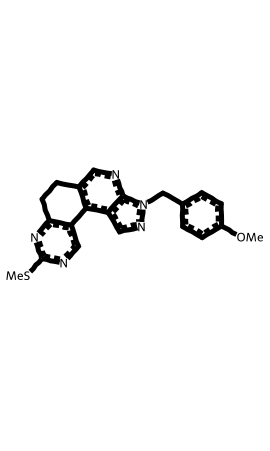 COc1ccc(Cn2ncc3c4c(cnc32)CCc2nc(SC)ncc2-4)cc1